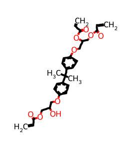 C=CC(=O)OCC(O)COc1ccc(C(C)(C)c2ccc(OCC(COC(=O)C=C)OC(=O)C=C)cc2)cc1